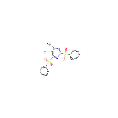 Cc1nc(S(=O)(=O)c2ccccc2)nc(S(=O)(=O)c2ccccc2)c1Cl